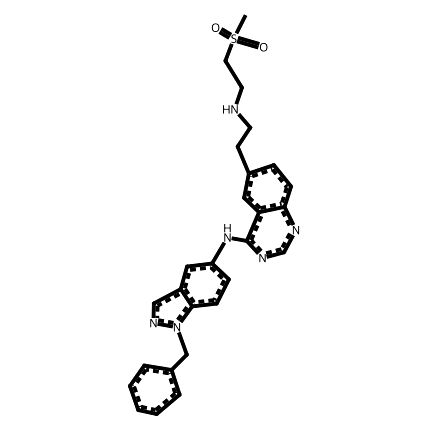 CS(=O)(=O)CCNCCc1ccc2ncnc(Nc3ccc4c(cnn4Cc4ccccc4)c3)c2c1